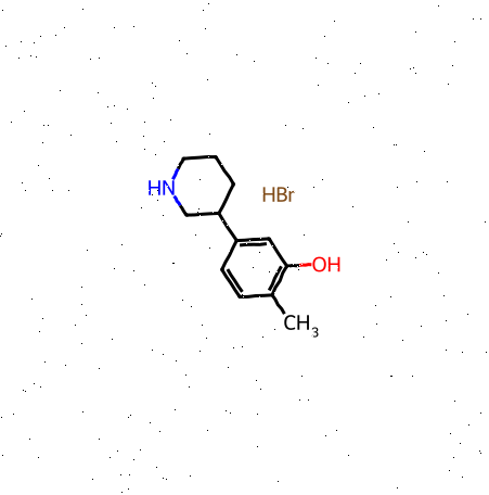 Br.Cc1ccc(C2CCCNC2)cc1O